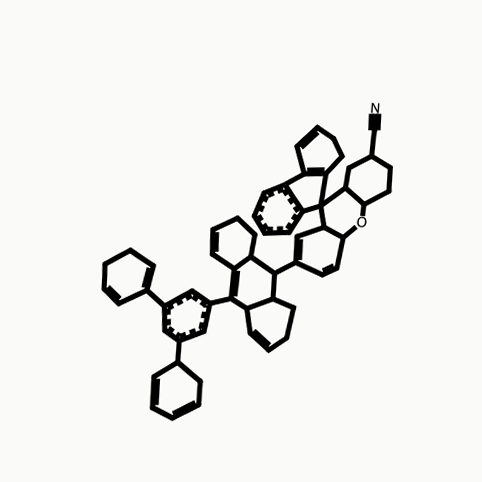 N#CC1CCC2OC3C=CC(C4C5CCC=CC5=C(c5cc(C6=CCCC=C6)cc(C6C=CC=CC6)c5)C5C=CCCC54)=CC3C3(C4=C(C=CCC4)c4ccccc43)C2C1